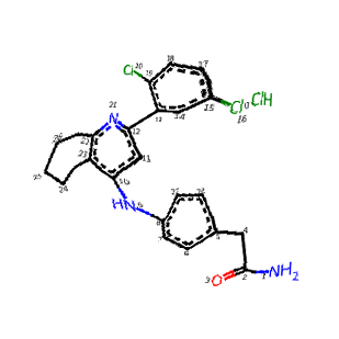 Cl.NC(=O)Cc1ccc(Nc2cc(-c3cc(Cl)ccc3Cl)nc3c2CCC3)cc1